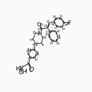 O=C(NO)c1cnc(N2CCN(C(=O)C(=Cc3ccc(F)cc3)c3cccnc3)CC2)nc1